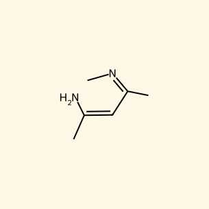 C/N=C(C)\C=C(\C)N